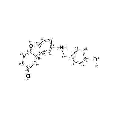 COc1ccc(CNc2ccc3oc4ccc(Cl)cc4c3c2)cc1